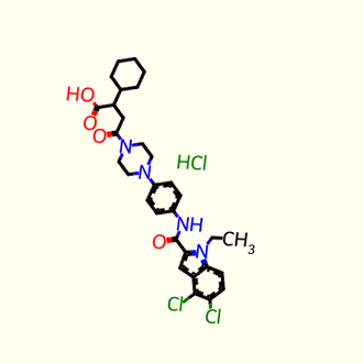 CCn1c(C(=O)Nc2ccc(N3CCN(C(=O)CC(C(=O)O)C4CCCCC4)CC3)cc2)cc2c(Cl)c(Cl)ccc21.Cl